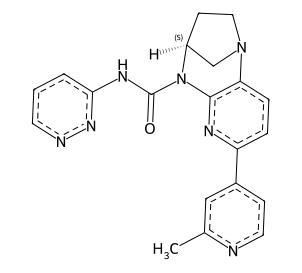 Cc1cc(-c2ccc3c(n2)N(C(=O)Nc2cccnn2)[C@H]2CCN3C2)ccn1